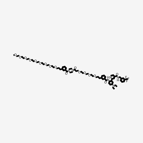 CCN(CC)c1ccc(NC(=O)c2cccc(CCCOCCOCCOCCOCCC(=O)N3CCN(C(=O)c4cccc(CCCOCCOCCOCCOCCOCCOCCOCCOCCOC)c4)CC3)c2)c(-c2cc(C(=O)NCc3cccc(C(F)(F)F)c3)ccn2)c1